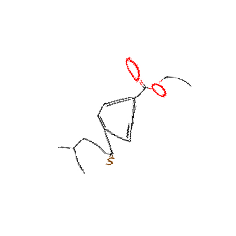 CCOC(=O)c1ccc(C(=S)CC(C)C)cc1